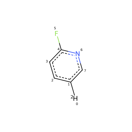 [2H]c1ccc(F)nc1